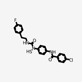 O=C(Nc1ccc(N(S)C(=O)NCCc2ccc(F)cc2)cc1)c1ccc(Cl)cc1